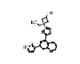 N#CC[C@]1(n2ncc(-c3cc(-c4cc[nH]n4)cc4ncccc34)n2)C[C@H](C#N)C1